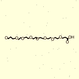 O=CCCOCCOCCOCCOCCOCCOCCOCCC(=O)O